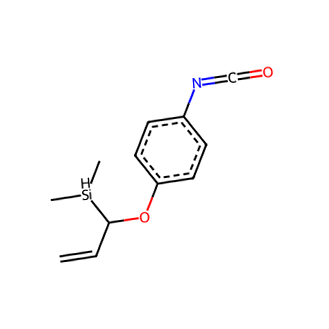 C=CC(Oc1ccc(N=C=O)cc1)[SiH](C)C